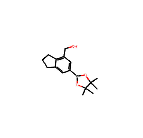 CC1(C)OB(c2cc(CO)c3c(c2)CCC3)OC1(C)C